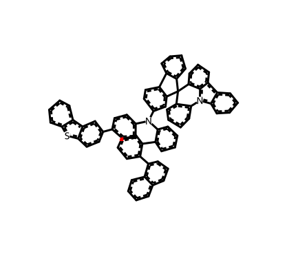 c1ccc(-c2cccc3ccccc23)c(-c2ccccc2N(c2ccc(-c3ccc4sc5ccccc5c4c3)cc2)c2ccc3c(c2)C2(c4ccccc4-3)c3ccccc3-n3c4ccccc4c4cccc2c43)c1